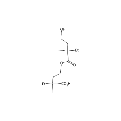 CCC(C)(CCOC(=O)C(C)(CC)CCO)C(=O)O